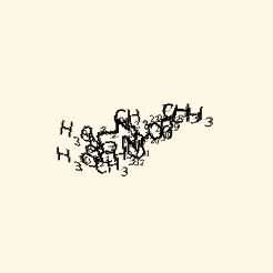 CN(CCN(C)C(=O)OC(C)(C)C)Cc1nn2c(c1C1CCC3(CC1)CC(C)(C)CO3)CCC2